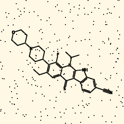 CCc1cc2c(=S)c3c4ccc(C#N)cc4[nH]c3n(C(C)C)c2c(F)c1C1CCN(C2CCOCC2)CC1